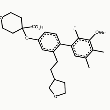 COc1c(C)c(C)cc(-c2ccc(OC3(C(=O)O)CCOCC3)cc2CCC2CCOC2)c1F